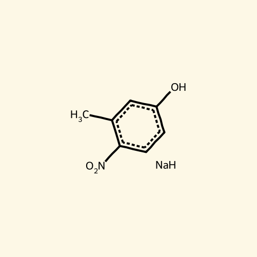 Cc1cc(O)ccc1[N+](=O)[O-].[NaH]